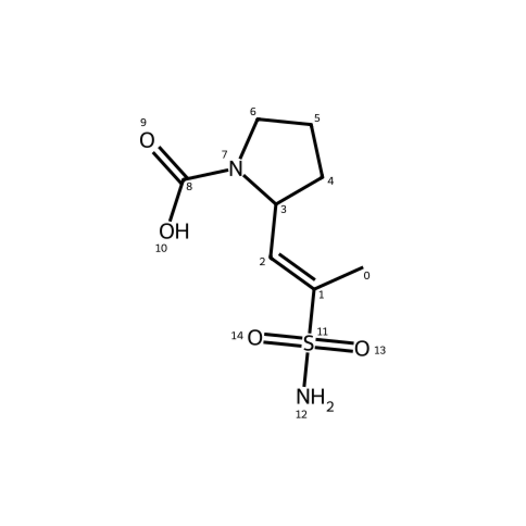 C/C(=C\C1CCCN1C(=O)O)S(N)(=O)=O